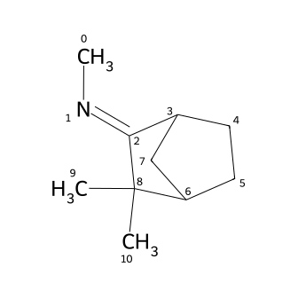 C/N=C1\C2CCC(C2)C1(C)C